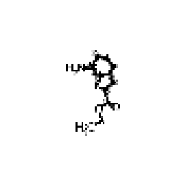 CCOC(=O)c1cc2cccc(N)n2n1